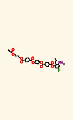 C=CC(=O)OCCCCOC(=O)C1CCC(C(=O)Oc2ccc(OC(=O)C3CCC(C(=O)Oc4cc(F)cc(P)c4CCC)CC3)cc2)CC1